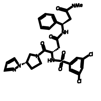 CNC(=O)C[C@@H](NC(=O)C[C@H](NS(=O)(=O)c1cc(Cl)cc(Cl)c1)C(=O)N1CC[C@H](n2cccn2)C1)c1ccccc1